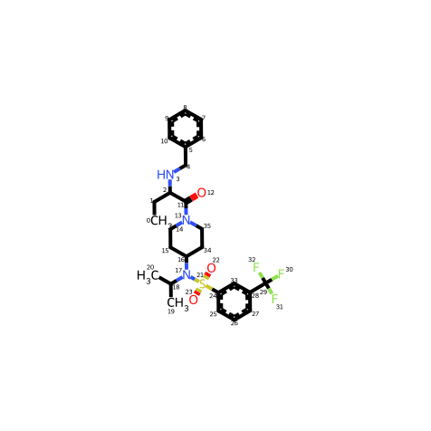 CCC(NCc1ccccc1)C(=O)N1CCC(N(C(C)C)S(=O)(=O)c2cccc(C(F)(F)F)c2)CC1